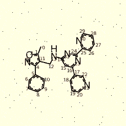 Cc1onc(-c2ccccc2)c1CNc1cc(-c2cccnc2)nc(-c2ccccn2)n1